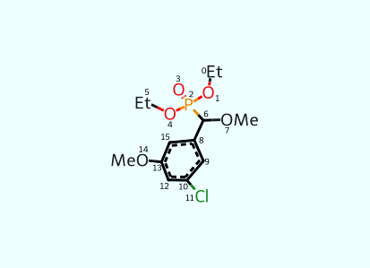 CCOP(=O)(OCC)C(OC)c1cc(Cl)cc(OC)c1